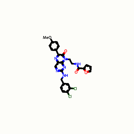 COc1ccc(-c2nc3cnc(NCc4ccc(Cl)c(Cl)c4)nc3n(CCNC(=O)c3ccco3)c2=O)cc1